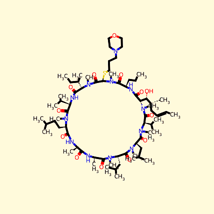 C/C=C/C[C@@H](C)[C@@H](O)[C@H]1C(=O)N[C@H](CCC)C(=O)N(C)[C@H](SCCCN2CCOCC2)C(=O)N(C)[C@@H](C(C)CC)C(=O)N[C@H](C(C)C)C(=O)N(C)[C@H](CCC(C)C)C(=O)N[C@H](C)C(=O)N[C@@H](C)C(=O)N(C)[C@@H](CC(C)C)C(=O)N(C)[C@H](CC(C)C)C(=O)N(C)[C@H](C(C)C)C(=O)N1C